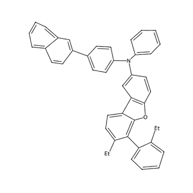 CCc1ccccc1-c1c(CC)ccc2c1oc1ccc(N(c3ccccc3)c3ccc(-c4ccc5ccccc5c4)cc3)cc12